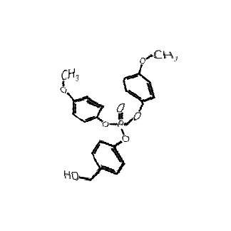 COc1ccc(OP(=O)(Oc2ccc(CO)cc2)Oc2ccc(OC)cc2)cc1